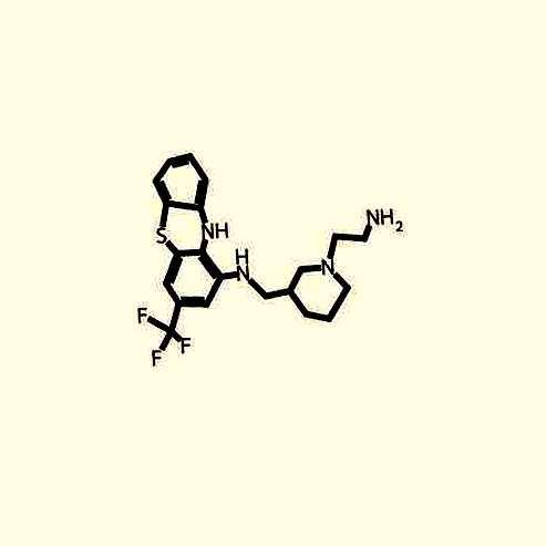 NCCN1CCCC(CNc2cc(C(F)(F)F)cc3c2Nc2ccccc2S3)C1